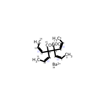 C/C=C\C(/C=C\C)(C(=O)[O-])C(/C=C\C)(/C=C\C)C(=O)[O-].[Ba+2]